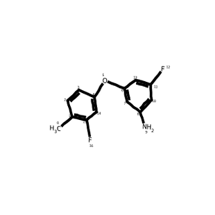 Cc1ccc(Oc2cc(N)cc(F)c2)cc1F